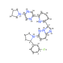 Fc1cccc(C2CCCN2c2ccc3ncc(-c4cccc(-c5cnc(N6CCCC6)cn5)n4)n3n2)c1